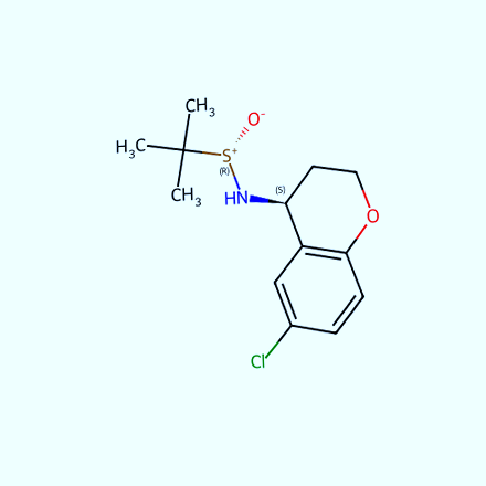 CC(C)(C)[S@+]([O-])N[C@H]1CCOc2ccc(Cl)cc21